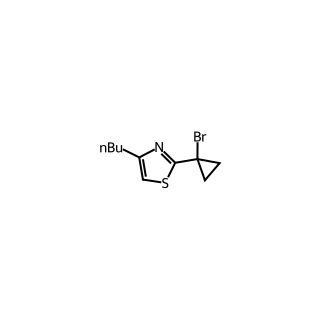 CCCCc1csc(C2(Br)CC2)n1